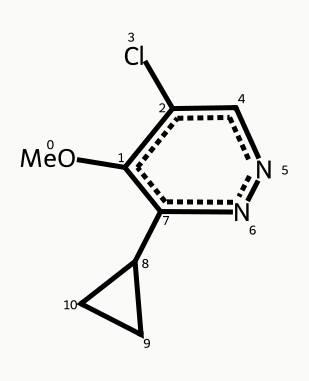 COc1c(Cl)cnnc1C1CC1